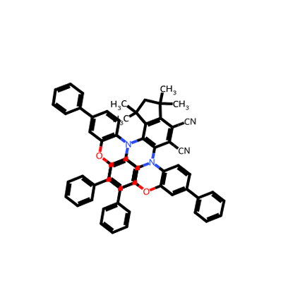 CC1(C)CC(C)(C)c2c(N3c4ccc(-c5ccccc5)cc4Oc4cc(-c5ccccc5)ccc43)c(N3c4ccc(-c5ccccc5)cc4Oc4cc(-c5ccccc5)ccc43)c(C#N)c(C#N)c21